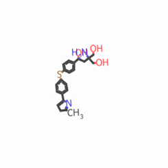 CC1=NC(c2ccc(Sc3ccc(C(O)CC(N)(CO)CO)cc3)cc2)=CC1